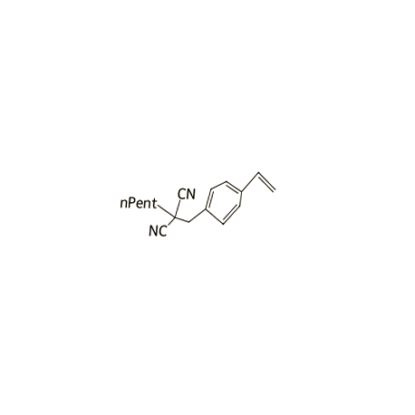 C=Cc1ccc(CC(C#N)(C#N)CCCCC)cc1